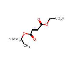 CCCCCC[C@@H](C)OC(=O)/C=C/C(=O)OCC(=O)O